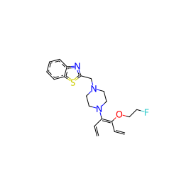 C=C/C(OCCF)=C(\C=C)N1CCN(Cc2nc3ccccc3s2)CC1